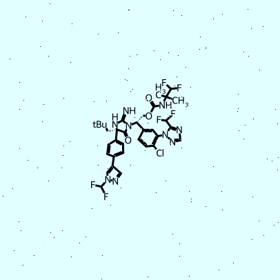 CC(C)(C)C[C@]1(c2ccc(-c3cnn(C(F)F)c3)cc2)NC(=N)N([C@H](COC(=O)NC(C)(C)C(F)F)c2ccc(Cl)c(-n3ncnc3C(F)F)c2)C1=O